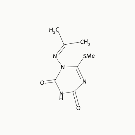 CSc1nc(=O)[nH]c(=O)n1N=C(C)C